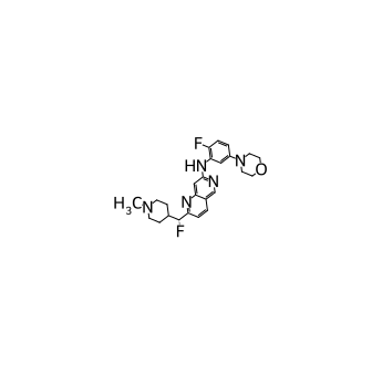 CN1CCC([C@@H](F)c2ccc3cnc(Nc4cc(N5CCOCC5)ccc4F)cc3n2)CC1